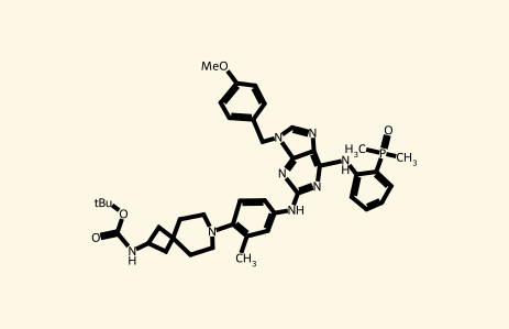 COc1ccc(Cn2cnc3c(Nc4ccccc4P(C)(C)=O)nc(Nc4ccc(N5CCC6(CC5)CC(NC(=O)OC(C)(C)C)C6)c(C)c4)nc32)cc1